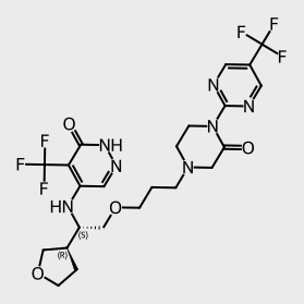 O=C1CN(CCCOC[C@@H](Nc2cn[nH]c(=O)c2C(F)(F)F)[C@H]2CCOC2)CCN1c1ncc(C(F)(F)F)cn1